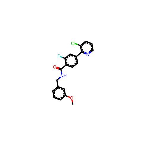 COc1cccc(CNC(=O)c2ccc(-c3ncccc3Cl)cc2F)c1